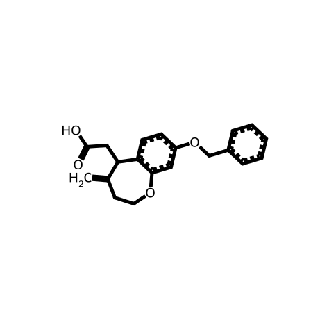 C=C1CCOc2cc(OCc3ccccc3)ccc2C1CC(=O)O